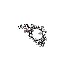 C=C/C(=C(\N=C/C)[C@H](C)OC)c1c2c3cc(ccc3n1CC)C1CSC(=N1)[C@@H](OCC)[C@H](NC(=O)OC(C)(C)C)C(=O)N1CCC[C@H](N1)C(=O)OCC(C)(C)C2